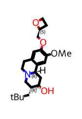 COc1cc2c(cc1OC[C@@H]1CCO1)CCN1C[C@@H](CC(C)(C)C)[C@H](O)C[C@H]21